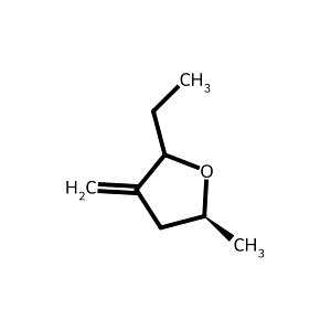 C=C1C[C@H](C)OC1CC